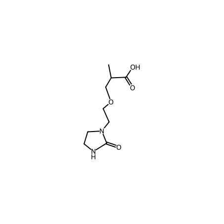 CC(COCCN1CCNC1=O)C(=O)O